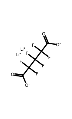 O=C([O-])C(F)(F)C(F)(F)C(F)(F)C(=O)[O-].[Li+].[Li+]